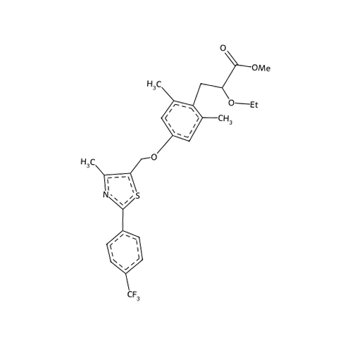 CCOC(Cc1c(C)cc(OCc2sc(-c3ccc(C(F)(F)F)cc3)nc2C)cc1C)C(=O)OC